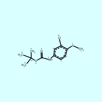 CSc1ccc(NC(=O)OC(C)(C)C)cc1Cl